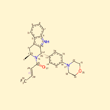 C[C@H]1Cc2c([nH]c3ccccc23)[C@H](c2ccc(N3CCOCC3)cc2)N1C(=O)/C=C/C(F)(F)F